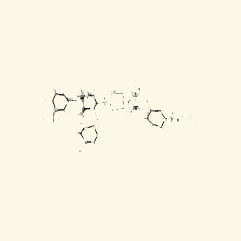 Cc1ccc(Cc2c(N3CCN(S(=O)(=O)Cc4cccc([N+](=O)[O-])c4)CC3)cnn(-c3cccc(Cl)c3)c2=O)cc1